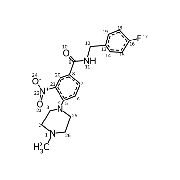 CN1CCN(c2ccc(C(=O)NCc3ccc(F)cc3)cc2[N+](=O)[O-])CC1